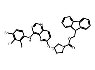 O=C(OCC1c2ccccc2-c2ccccc21)N1CC[C@H](Oc2ccc3ncnc(Nc4ccc(Br)c(Cl)c4F)c3n2)C1